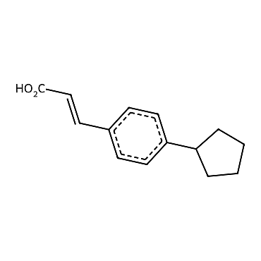 O=C(O)/C=C/c1ccc(C2CCCC2)cc1